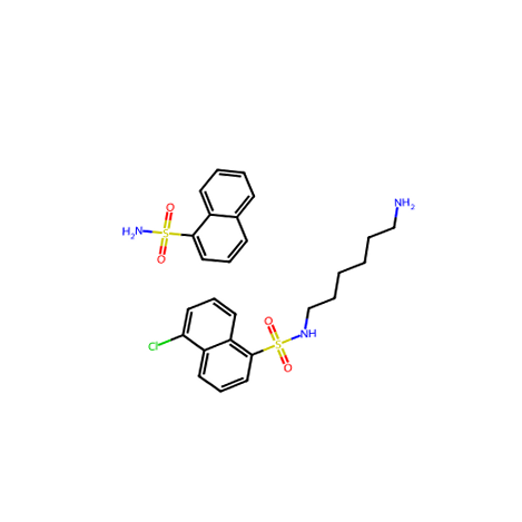 NCCCCCCNS(=O)(=O)c1cccc2c(Cl)cccc12.NS(=O)(=O)c1cccc2ccccc12